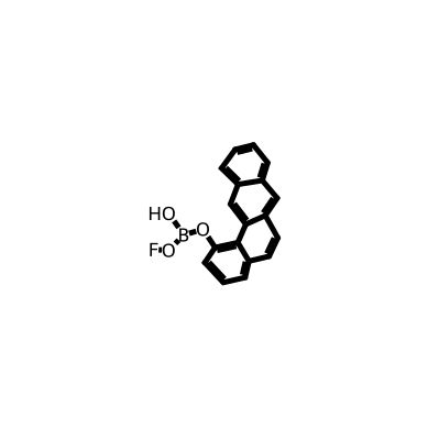 OB(OF)Oc1cccc2ccc3cc4ccccc4cc3c12